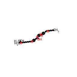 C=C(C)C(=C)OCCCCCCCCCCCOc1ccc(C#C/C(=C\O)Oc2ccc(OC(=O)C3=CC[C@@H](C#CCOCCCCCCC)C=C3)cc2)cc1